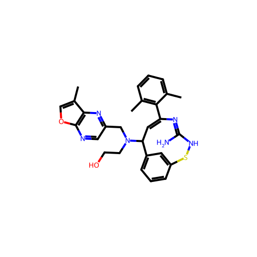 Cc1cccc(C)c1C1=C/C(N(CCO)Cc2cnc3occ(C)c3n2)c2cccc(c2)SN\C(N)=N\1